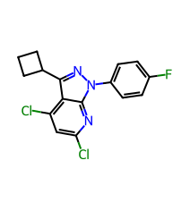 Fc1ccc(-n2nc(C3CCC3)c3c(Cl)cc(Cl)nc32)cc1